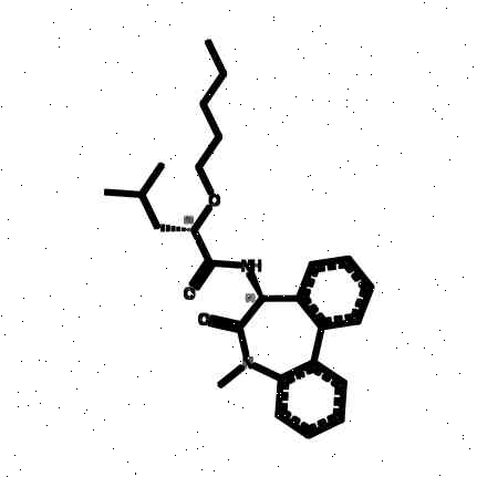 CCCCCO[C@@H](CC(C)C)C(=O)N[C@@H]1C(=O)N(C)c2ccccc2-c2ccccc21